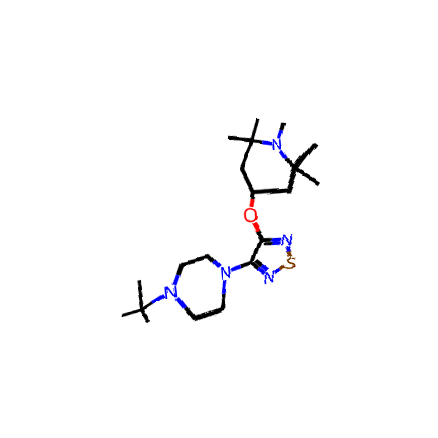 CN1C(C)(C)CC(Oc2nsnc2N2CCN(C(C)(C)C)CC2)CC1(C)C